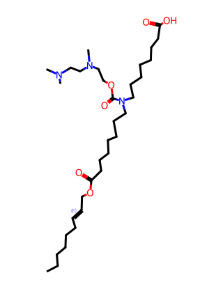 CCCCCC/C=C/COC(=O)CCCCCCCN(CCCCCCCC(=O)O)C(=O)OCCN(C)CCN(C)C